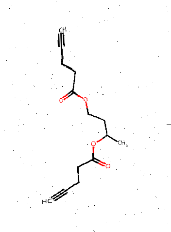 C#CCCC(=O)OCCC(C)OC(=O)CCC#C